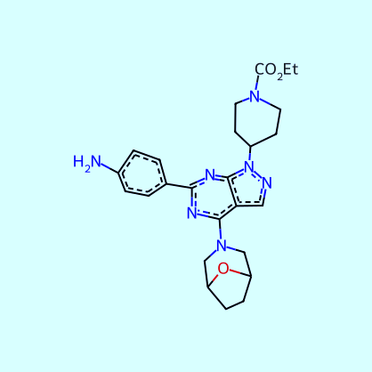 CCOC(=O)N1CCC(n2ncc3c(N4CC5CCC(C4)O5)nc(-c4ccc(N)cc4)nc32)CC1